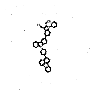 C=Cc1c(C=N)c2cc(-c3ccc4c(c3)c3ccccc3n4C3C=CC(c4ccc5c6c(cccc46)-c4ccccc4-5)=CC3)ccc2n1C1C=CC=CO1